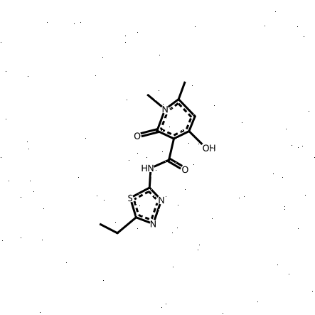 CCc1nnc(NC(=O)c2c(O)cc(C)n(C)c2=O)s1